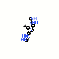 C=C(C)c1ccc(N2C(c3ccc4[nH]c([C@@H]5CCCN5)nc4c3)CCC2c2ccc3[nH]c([C@@H]4CCCN4)nc3c2)cc1